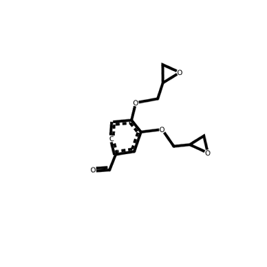 O=Cc1ccc(OCC2CO2)c(OCC2CO2)c1